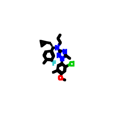 CCCN(c1nc(C)n(-c2cc(C)c(OC)cc2Cl)n1)[C@@H](CC1CC1)c1ccc(C)c(F)c1